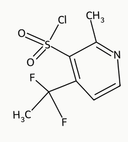 Cc1nccc(C(C)(F)F)c1S(=O)(=O)Cl